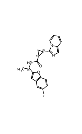 C[C@@H](NC(=O)[C@H]1C[C@@H]1c1ncc2ccccn12)c1cc2cc(F)ccc2o1